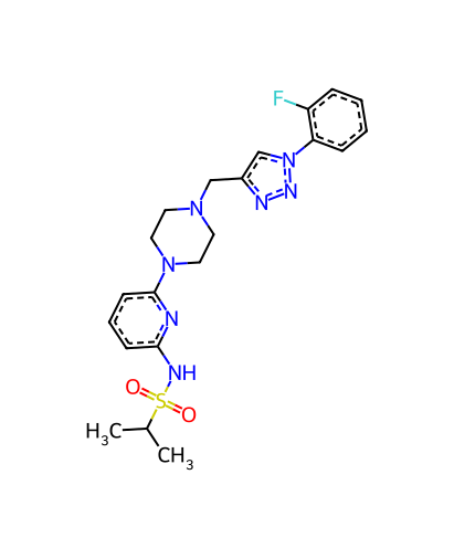 CC(C)S(=O)(=O)Nc1cccc(N2CCN(Cc3cn(-c4ccccc4F)nn3)CC2)n1